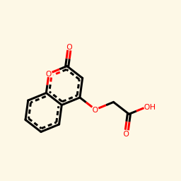 O=C(O)COc1cc(=O)oc2ccccc12